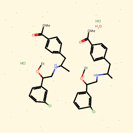 CCOC(CNC(C)Cc1ccc(C(=O)OC)cc1)c1cccc(Cl)c1.CCOC(CNC(C)Cc1ccc(C(=O)OC)cc1)c1cccc(Cl)c1.Cl.Cl.O